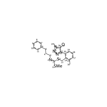 CSC(=NCCCc1ccccc1)SCc1c(C)cccc1-n1nnn(C)c1=O